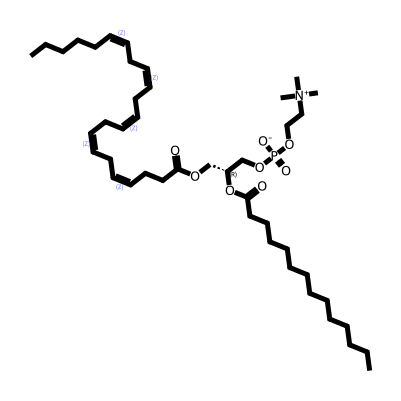 CCCCC/C=C\C/C=C\C/C=C\C/C=C\C/C=C\CCC(=O)OC[C@H](COP(=O)([O-])OCC[N+](C)(C)C)OC(=O)CCCCCCCCCCCCC